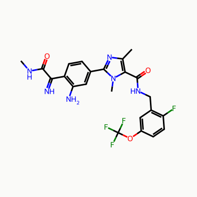 CNC(=O)C(=N)c1ccc(-c2nc(C)c(C(=O)NCc3cc(OC(F)(F)F)ccc3F)n2C)cc1N